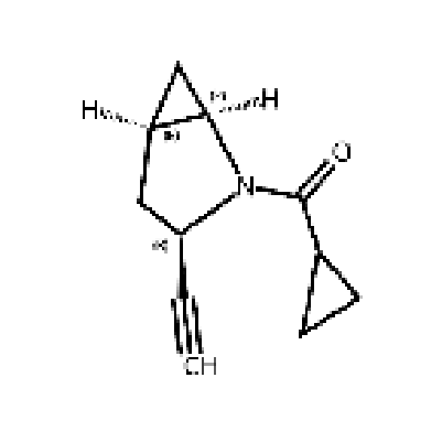 C#C[C@H]1C[C@H]2C[C@H]2N1C(=O)C1CC1